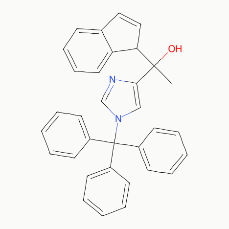 CC(O)(c1cn(C(c2ccccc2)(c2ccccc2)c2ccccc2)cn1)C1C=Cc2ccccc21